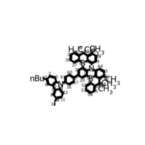 CCCCc1ccc2c(c1)c1cc(I)ccc1n2-c1ccc(-c2cc3c4c(c2)B2c5ccccc5C(C)(C)c5c(C)ccc(c52)N4c2ccc(C)c4c2B3c2ccccc2C4(C)C)cc1